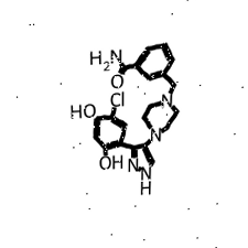 NC(=O)c1cccc(CN2CCN(c3c[nH]nc3-c3cc(Cl)c(O)cc3O)CC2)c1